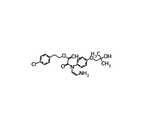 C=C(OCCc1ccc(Cl)cc1)C(=O)N(/C=C\N)c1ccc(OCC(C)(C)O)cc1